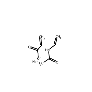 C=CC(=O)[O-].C=CNC(C)=O.[Na+]